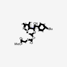 COC(=O)CSC(=O)OC(C)O/C(=C(/C#N)c1ccc(C(C)(C)C)cc1)c1c(C)c(C)nn1C